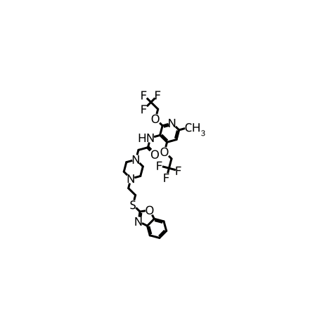 Cc1cc(OCC(F)(F)F)c(NC(=O)CN2CCN(CCSc3nc4ccccc4o3)CC2)c(OCC(F)(F)F)n1